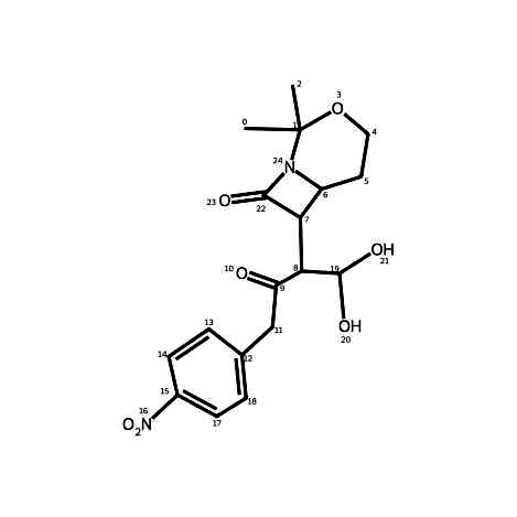 CC1(C)OCCC2C(C(C(=O)Cc3ccc([N+](=O)[O-])cc3)C(O)O)C(=O)N21